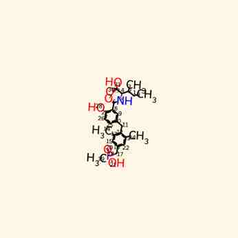 CCC(C)[C@H](NC(=O)c1cc(Cc2c(C)cc(CP(C)(=O)O)cc2C)ccc1O)C(=O)O